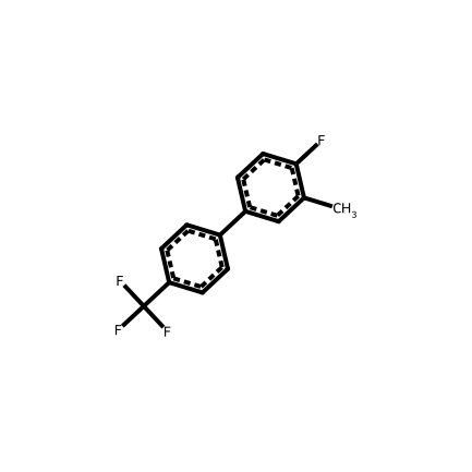 Cc1cc(-c2ccc(C(F)(F)F)cc2)ccc1F